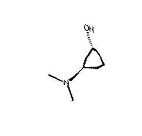 CN(C)[C@@H]1C[C@H]1O